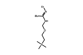 CC/N=C(/NCOCC[Si](C)(C)C)C(C)CC